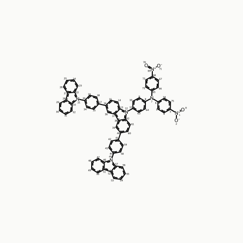 O=[N+]([O-])c1ccc(N(c2ccc(-n3c4ccc(-c5ccc(-n6c7ccccc7c7ccccc76)cc5)cc4c4cc(-c5ccc(-n6c7ccccc7c7ccccc76)cc5)ccc43)cc2)c2ccc([N+](=O)[O-])cc2)cc1